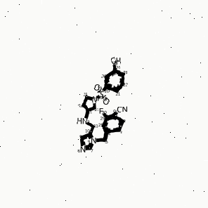 N#Cc1ccc(Cn2cncc2CNC2CCN(S(=O)(=O)c3cccc(O)c3)C2)cc1F